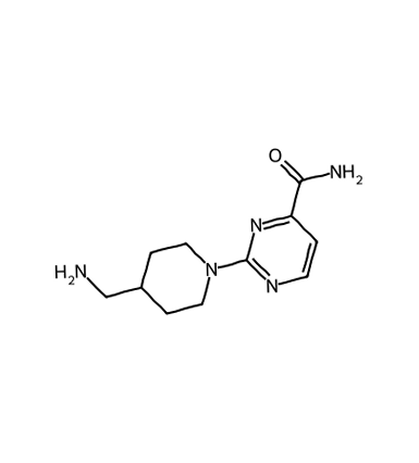 NCC1CCN(c2nccc(C(N)=O)n2)CC1